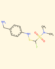 CN(C)S(=O)(=O)C(F)SNc1ccc(CN)cc1